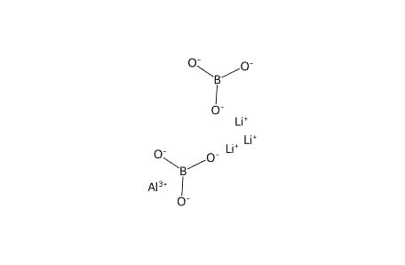 [Al+3].[Li+].[Li+].[Li+].[O-]B([O-])[O-].[O-]B([O-])[O-]